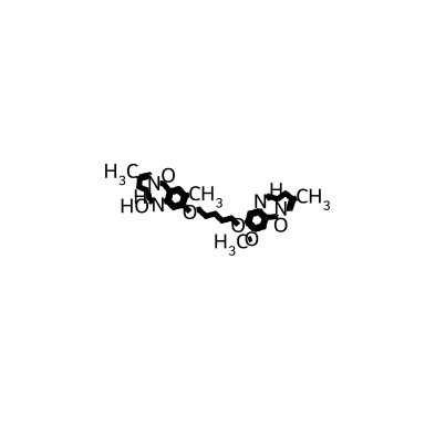 COc1cc2c(cc1OCCCCCOc1cc3c(cc1C)C(=O)N1C=C(C)C[C@H]1C(O)=N3)N=C[C@@H]1CC(C)=CN1C2=O